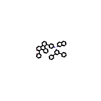 c1ccc(-c2cc(-c3ccccc3)cc(N(c3ccc(-c4cccc5c6ccc7oc8ccccc8c7c6c6ccccc6c45)cc3)c3ccc4ccccc4c3)c2)cc1